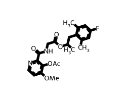 COc1ccnc(C(=O)NCC(=O)OC(C)Cc2c(C)cc(F)cc2C)c1OC(C)=O